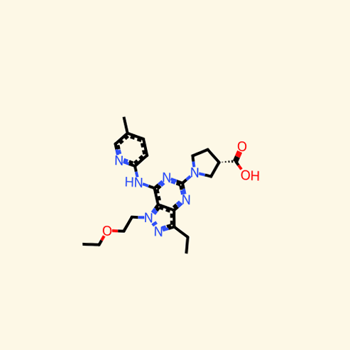 CCOCCn1nc(CC)c2nc(N3CC[C@H](C(=O)O)C3)nc(Nc3ccc(C)cn3)c21